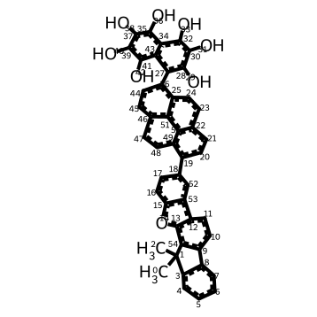 CC1(C)c2ccccc2-c2ccc3c(oc4ccc(-c5ccc6ccc7c(-c8c(O)c(O)c(O)c9c(O)c(O)c(O)c(O)c89)ccc8ccc5c6c87)cc43)c21